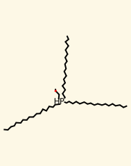 CCCCCCCCCCCCCCCCCC[PH](CCCC)(CCCCCCCCCCCCCCCCCC)CCCCCCCCCCCCCCCCCC